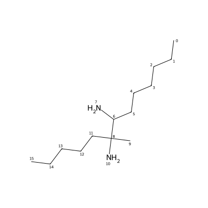 CCCCCCC(N)C(C)(N)CCCCC